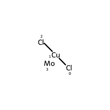 [Cl][Cu][Cl].[Mo]